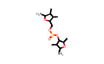 BC1OC(CO[PH](=O)OC2C(C)OC(B)C2C)C(C)C1C